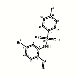 C=Cc1ccc(Br)cc1NS(=O)(=O)c1ccc(C)cc1